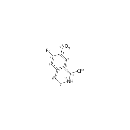 O=[N+]([O-])c1cc2c(cc1F)=NCNC=2Cl